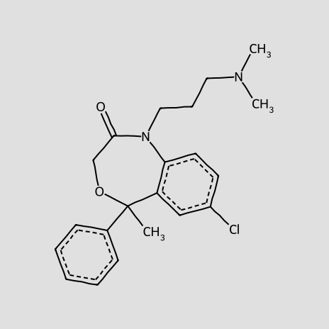 CN(C)CCCN1C(=O)COC(C)(c2ccccc2)c2cc(Cl)ccc21